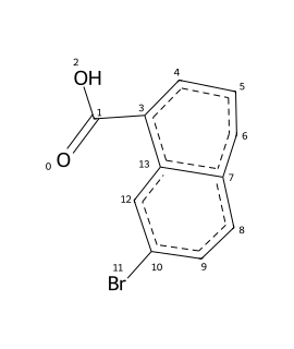 O=C(O)c1cccc2ccc(Br)cc12